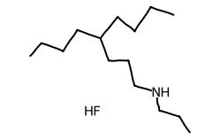 CCCCC(CCCC)CCCNCCC.F